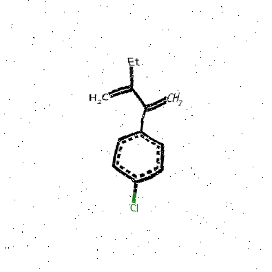 C=C(CC)C(=C)c1ccc(Cl)cc1